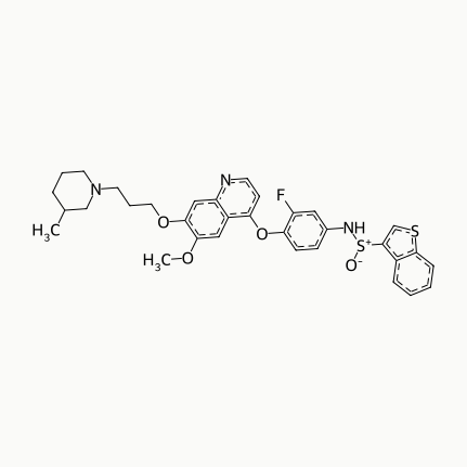 COc1cc2c(Oc3ccc(N[S+]([O-])c4csc5ccccc45)cc3F)ccnc2cc1OCCCN1CCCC(C)C1